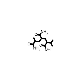 CC(CC(CC(C(=O)O)C(C)C)C(N)=O)C(N)=O